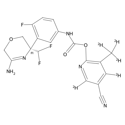 [2H]c1nc(OC(=O)Nc2ccc(F)c([C@]3(C(F)F)COCC(N)=N3)c2)c(C([2H])([2H])[2H])c([2H])c1C#N